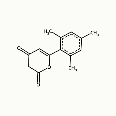 Cc1cc(C)c(C2=CC(=O)CC(=O)O2)c(C)c1